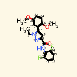 CCn1nc(C(=O)Nc2c(F)cccc2F)cc1-c1cc(OC)ccc1OC